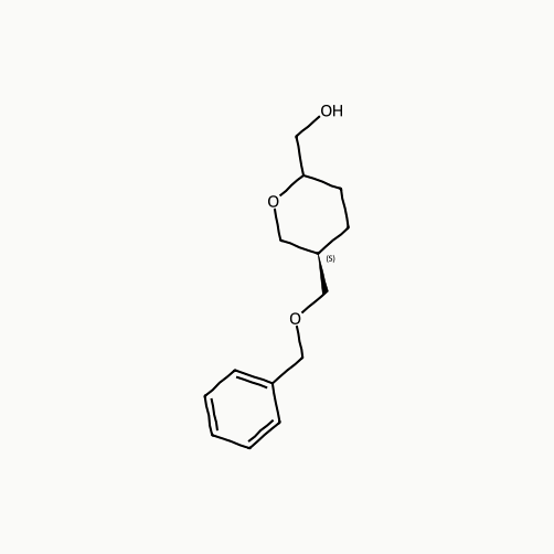 OCC1CC[C@@H](COCc2ccccc2)CO1